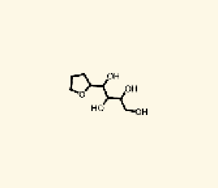 OCC(O)C(O)C(O)C1CCCO1